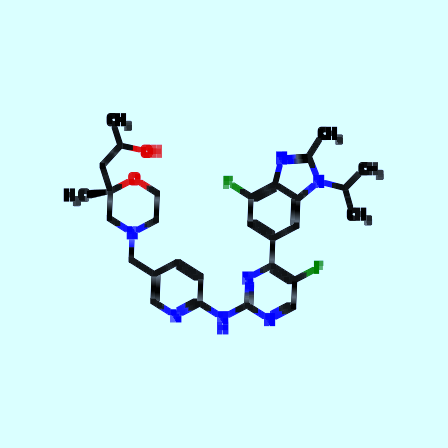 Cc1nc2c(F)cc(-c3nc(Nc4ccc(CN5CCO[C@@](C)(CC(C)O)C5)cn4)ncc3F)cc2n1C(C)C